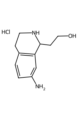 Cl.Nc1ccc2c(c1)C(CCO)NCC2